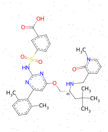 Cc1cccc(C)c1-c1cc(OC[C@@H](CC(C)(C)C)NCc2cccn(C)c2=O)nc(NS(=O)(=O)c2cccc(C(=O)O)c2)n1